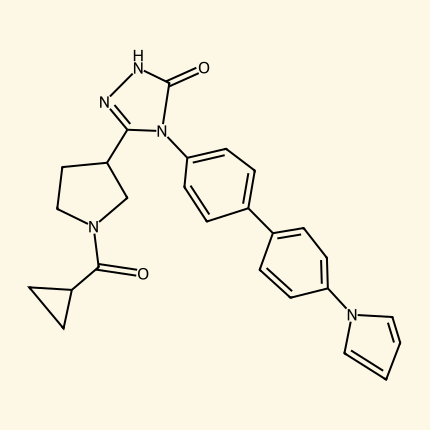 O=C(C1CC1)N1CCC(c2n[nH]c(=O)n2-c2ccc(-c3ccc(-n4cccc4)cc3)cc2)C1